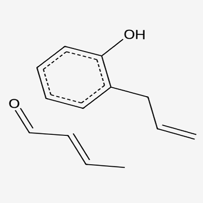 C/C=C/C=O.C=CCc1ccccc1O